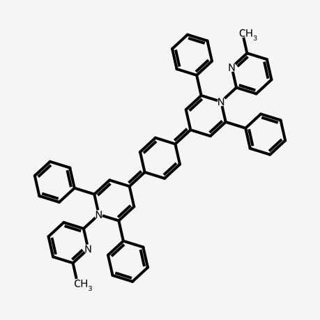 Cc1cccc(N2C(c3ccccc3)=CC(=c3ccc(=C4C=C(c5ccccc5)N(c5cccc(C)n5)C(c5ccccc5)=C4)cc3)C=C2c2ccccc2)n1